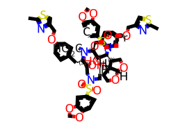 Cc1nc(COc2ccc(C[C@@H]([C@H](O)CN(CC(C)C)S(=O)(=O)c3ccc4c(c3)OCO4)N(C(=O)O)[C@@H](Cc3ccc(OCc4csc(C)n4)cc3)[C@@H](O)C([C@@H]3CO[C@H]4OCC[C@H]43)N(CC(C)C)S(=O)(=O)c3ccc4c(c3)OCO4)cc2)cs1